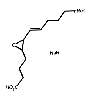 CCCCCCCCCCCC/C=C/C1OC1CCCC(=O)O.[NaH]